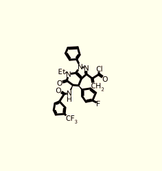 C=C(C(=O)Cl)c1nn(-c2ccccc2)c2c1[C@@H](c1ccc(F)cc1)[C@@H](NC(=O)c1cccc(C(F)(F)F)c1)C(=O)N2CC